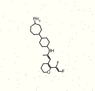 C/C(BC1CCC(C2CCCC(P)CC2)CC1)=C\C1=C(C(/F)=C/F)OCCC1